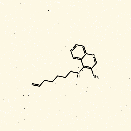 C=CCCCCCNc1c(N)cnc2ccccc12